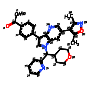 COC(=O)c1ccc(-c2cn(C(c3ccccn3)C3CCOCC3)c3cc(-c4c(C)noc4C)cnc23)cc1